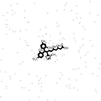 Cc1ccc(C(=C(C=CC(O)CC(O)CC(=O)O)c2nnnn2C)c2ccc(C)cc2C)c(C)c1